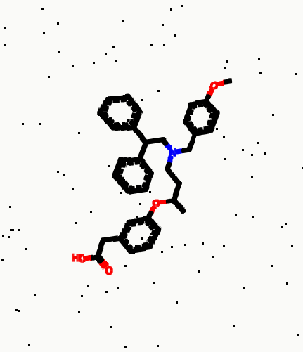 COc1ccc(CN(CCC(C)Oc2cccc(CC(=O)O)c2)CC(c2ccccc2)c2ccccc2)cc1